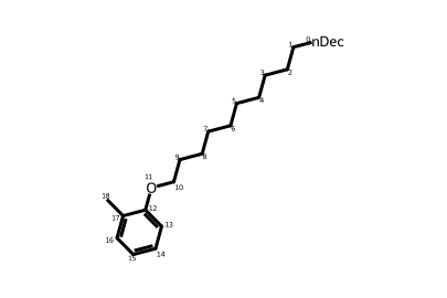 CCCCCCCCCCCCCCCCCCCCOc1ccccc1C